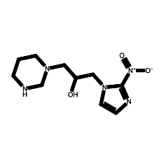 O=[N+]([O-])c1nccn1CC(O)CN1CCCNC1